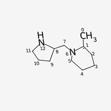 C[C]1CCCCN1CC1CCCN1